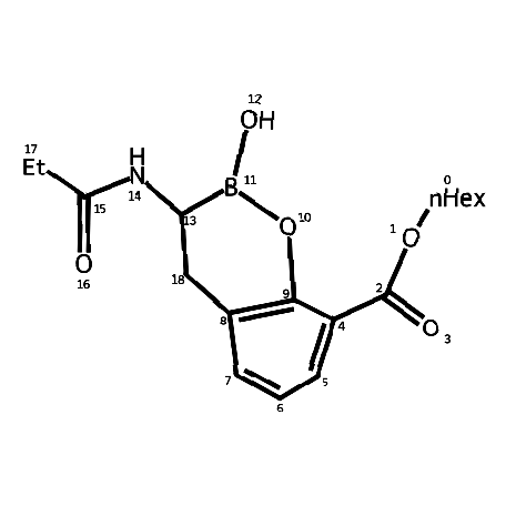 CCCCCCOC(=O)c1cccc2c1OB(O)C(NC(=O)CC)C2